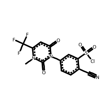 Cn1c(C(F)(F)F)cc(=O)n(-c2ccc(C#N)c(S(=O)(=O)Cl)c2)c1=O